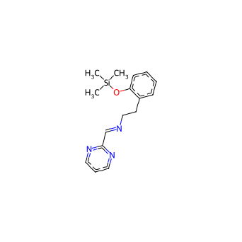 C[Si](C)(C)Oc1ccccc1CCN=Cc1ncccn1